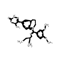 CCC(C)CN=C(c1ccc(OC)c(OC)c1)N1CCCc2cc(C3=NNC(=O)SC3C)ccc21